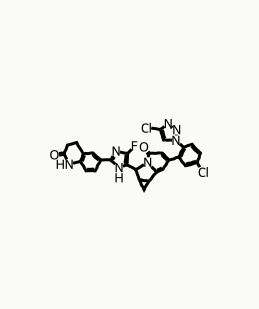 O=C1CCc2cc(-c3nc(F)c(C4C5CC5c5cc(-c6cc(Cl)ccc6-n6cc(Cl)nn6)cc(=O)n54)[nH]3)ccc2N1